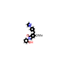 COc1cc2c(cc1Cc1ccc(-n3cccn3)cc1)C(=O)N(C1CCCCC1O)C2